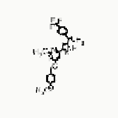 COc1ccc(COc2cc(-c3cc(C(C)c4ccc(C(F)(F)F)cc4)[nH]n3)nc(C)n2)cc1